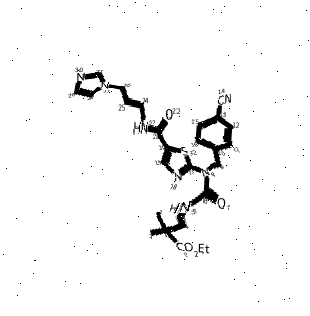 CCOC(=O)C(C)(C)CNC(=O)N(Cc1ccc(C#N)cc1)c1ncc(C(=O)NCCCn2ccnc2)s1